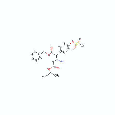 CC(C)OC(=O)CC(N)C(C(=O)OCc1ccccc1)c1ccc(OS(C)(=O)=O)cc1